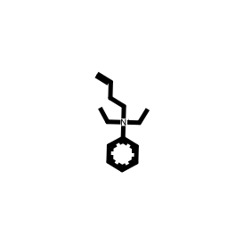 C=CCC[N+](CC)(CC)c1ccccc1